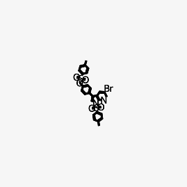 Cc1ccc(S(=O)(=O)Oc2ccc(-c3cn(S(=O)(=O)c4ccc(C)cc4)c4ncc(Br)cc34)cc2)cc1